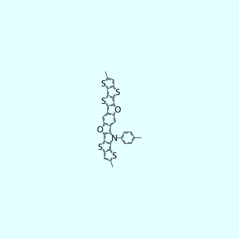 Cc1ccc(-n2c3c4cc5oc6c(sc7c8sc(C)cc8sc67)c5cc4oc3c3sc4cc(C)sc4c32)cc1